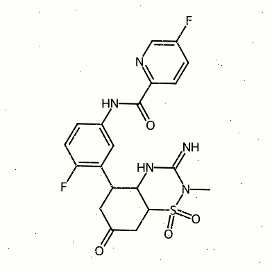 CN1C(=N)NC2C(c3cc(NC(=O)c4ccc(F)cn4)ccc3F)CC(=O)CC2S1(=O)=O